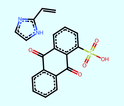 C=Cc1ncc[nH]1.O=C1c2ccccc2C(=O)c2c1cccc2S(=O)(=O)O